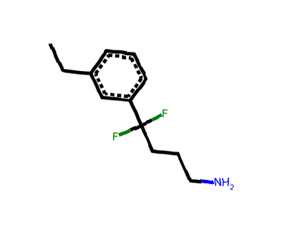 CCc1cccc(C(F)(F)CCCN)c1